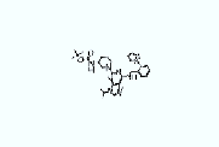 CC(C)n1cnc2c(NCc3ccccc3-n3cccn3)nc(N3CCC[C@@H](NC(=O)OC(C)(C)C)C3)nc21